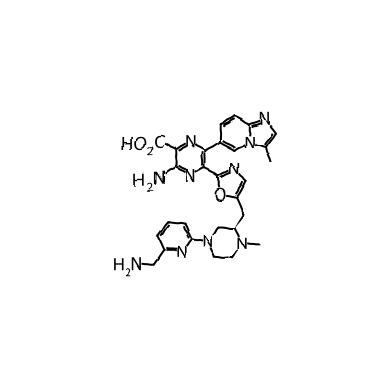 Cc1cnc2ccc(-c3nc(C(=O)O)c(N)nc3-c3ncc(C[C@@H]4CN(c5cccc(CN)n5)CCN4C)o3)cn12